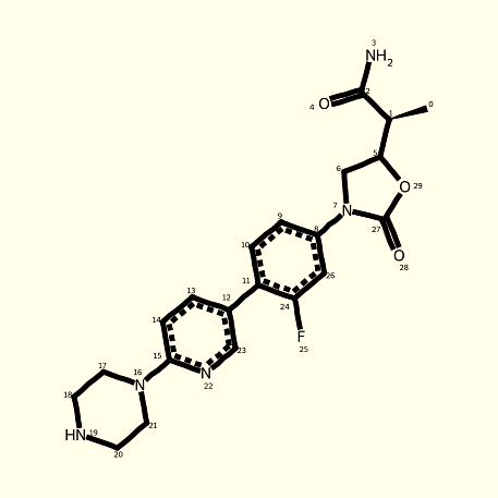 C[C@H](C(N)=O)C1CN(c2ccc(-c3ccc(N4CCNCC4)nc3)c(F)c2)C(=O)O1